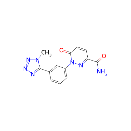 Cn1nnnc1-c1cccc(-n2nc(C(N)=O)ccc2=O)c1